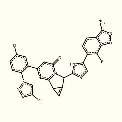 Nc1noc2c(F)c(-c3cnc(C4C5=CC5c5nc(-c6cc(Cl)ccc6-n6cc(Cl)nn6)cc(=O)n54)[nH]3)ccc12